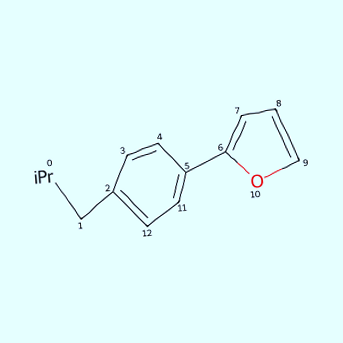 CC(C)Cc1ccc(-c2ccco2)cc1